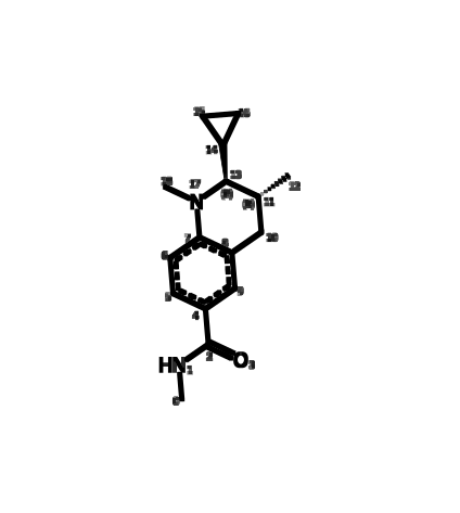 CNC(=O)c1ccc2c(c1)C[C@@H](C)[C@H](C1CC1)N2C